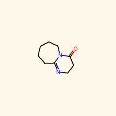 O=C1CCN=C2CCCCCN12